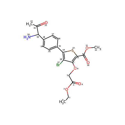 CCOC(=O)COc1c(C(=O)OC)sc(-c2ccc(C(N)C(C)=O)cc2)c1Br